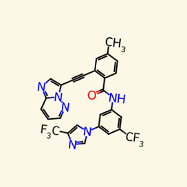 Cc1ccc(C(=O)Nc2cc(-n3cnc(C(F)(F)F)c3)cc(C(F)(F)F)c2)c(C#Cc2cnc3cccnn23)c1